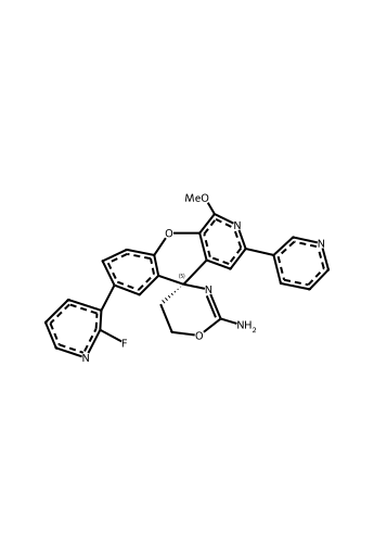 COc1nc(-c2cccnc2)cc2c1Oc1ccc(-c3cccnc3F)cc1[C@@]21CCOC(N)=N1